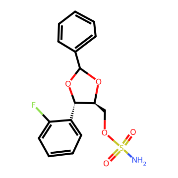 NS(=O)(=O)OC[C@@H]1OC(c2ccccc2)O[C@H]1c1ccccc1F